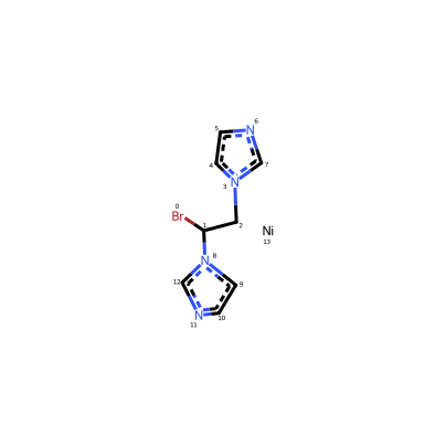 BrC(Cn1ccnc1)n1ccnc1.[Ni]